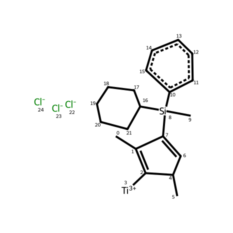 CC1=[C]([Ti+3])C(C)C=C1[Si](C)(c1ccccc1)C1CCCCC1.[Cl-].[Cl-].[Cl-]